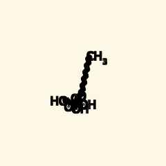 CCCCCCCCCCCCO[C@H]1O[C@@H]([C@H](O)CO)[C@H](O)[C@H]1O